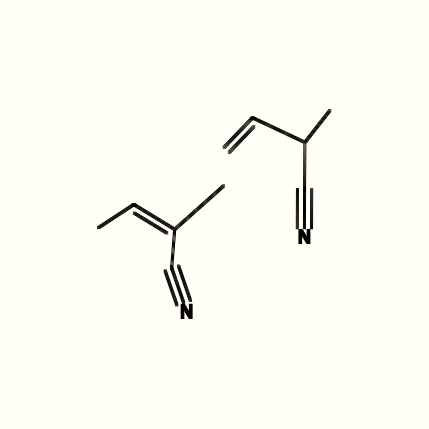 C=CC(C)C#N.CC=C(C)C#N